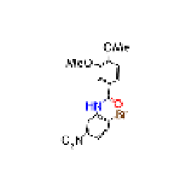 COc1ccc(C(=O)Nc2cc([N+](=O)[O-])ccc2Br)cc1OC